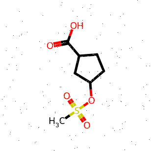 CS(=O)(=O)OC1CCC(C(=O)O)C1